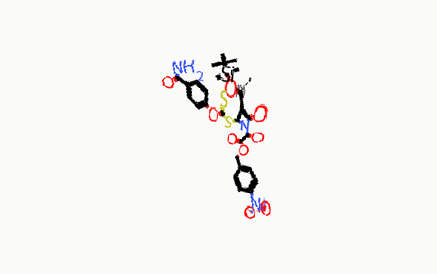 C[C@@H](O[Si](C)(C)C(C)(C)C)C1C(=O)N(C(=O)C(=O)OCc2ccc([N+](=O)[O-])cc2)C1SC(=S)Oc1ccc(C(N)=O)cc1